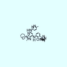 COc1c(Nc2cc(Nc3ccc(C)nn3)nc3c2nc(C)n3C2CCCCO2)cccc1-c1nnn(C)n1